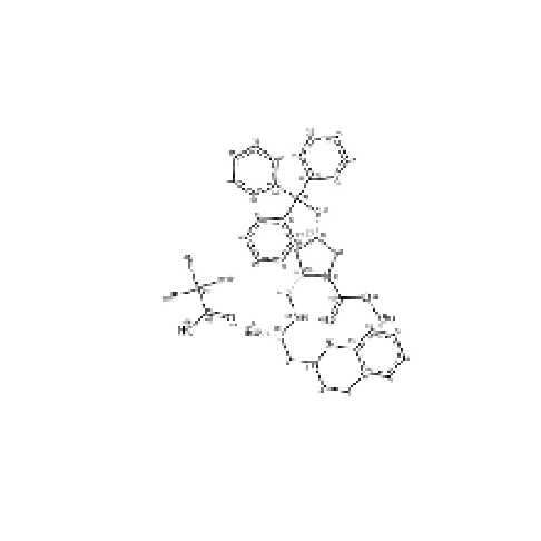 CCC(C)[C@@H](CN1CCc2ccccc2C1)NC[C@@H]1C[C@H](SC(c2ccccc2)(c2ccccc2)c2ccccc2)CN1C(=O)OC(C)(C)C.O=C(O)C(F)(F)F